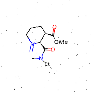 CCN(C)C(=O)[C@H]1NCCC[C@H]1C(=O)OC